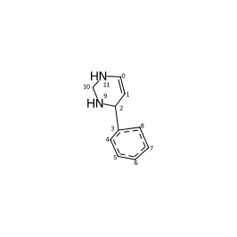 C1=CC(c2ccccc2)NCN1